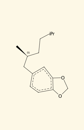 CC(C)CC[C@H](C)Cc1ccc2c(c1)OCO2